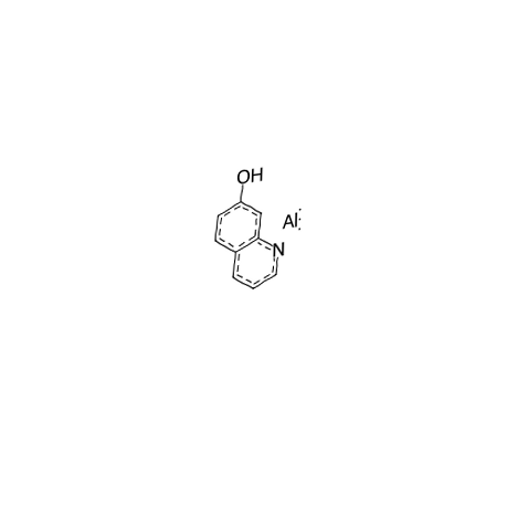 Oc1ccc2cccnc2c1.[Al]